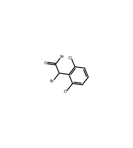 O=C(Br)C(Br)c1c(Cl)cccc1Cl